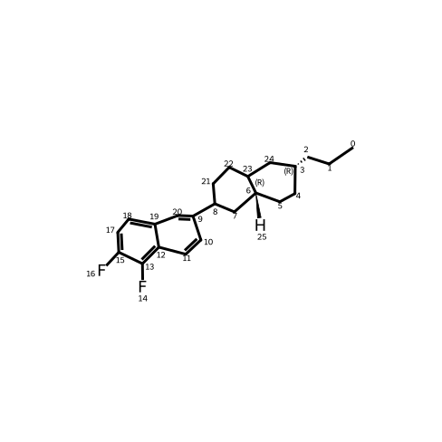 CCC[C@@H]1CC[C@@H]2CC(c3ccc4c(F)c(F)ccc4c3)CCC2C1